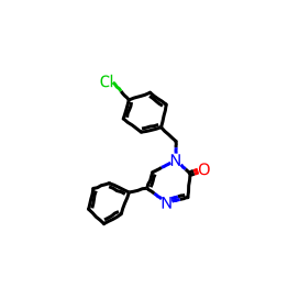 O=c1cnc(-c2ccccc2)cn1Cc1ccc(Cl)cc1